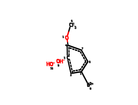 [B+2]c1ccc(OC(F)(F)F)cc1.[OH-].[OH-]